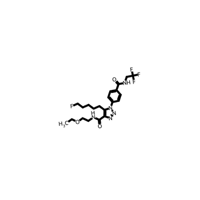 CCOCCNC(=O)c1nnn(-c2ccc(C(=O)NCC(F)(F)F)cc2)c1CCCCCF